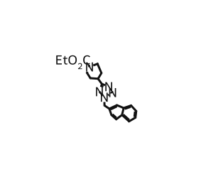 CCOC(=O)N1CCC(c2nnn(Cc3ccc4ccccc4c3)n2)CC1